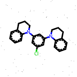 Clc1cc(N2CCCc3ccccc32)cc(N2CCCc3ccccc32)c1